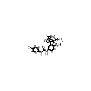 NC1=N[C@](CF)(c2cc(NC(=O)Nc3ccc(Cl)cn3)ccc2F)[C@@H]2C[C@]2(/C=C/C(=O)O)S1